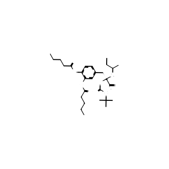 CCCCC(=O)Oc1ccc(C[C@](NC(C)CC)(OC(=O)OC(C)(C)C)C(=O)O)cc1OC(=O)CCCC